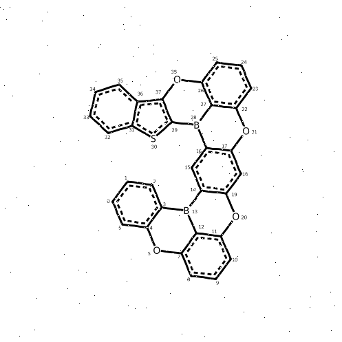 c1ccc2c(c1)Oc1cccc3c1B2c1cc2c(cc1O3)Oc1cccc3c1B2c1sc2ccccc2c1O3